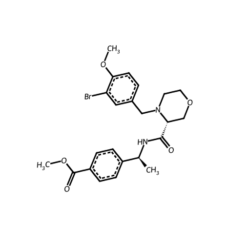 COC(=O)c1ccc([C@H](C)NC(=O)[C@H]2COCCN2Cc2ccc(OC)c(Br)c2)cc1